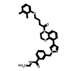 Cc1cccc(OCCCC(=O)N2CCOc3c(-c4cnn(Cc5cccc(C(=O)NCC(=O)O)c5)c4)cccc32)c1C